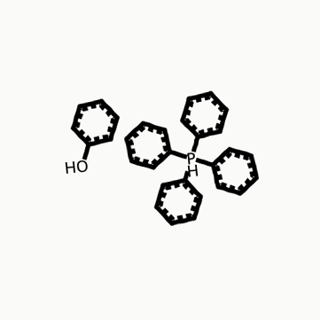 Oc1ccccc1.c1ccc([PH](c2ccccc2)(c2ccccc2)c2ccccc2)cc1